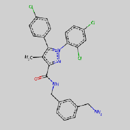 Cc1c(C(=O)NCc2cccc(CN)c2)nn(-c2ccc(Cl)cc2Cl)c1-c1ccc(Cl)cc1